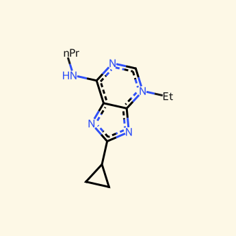 CCCNc1ncn(CC)c2nc(C3CC3)nc1-2